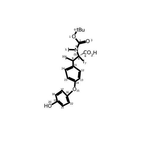 CC(C)(C)OC(=O)N(I)[C@](I)(C(=O)O)C(I)c1ccc(Oc2ccc(O)cc2)cc1